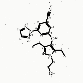 CCc1nn(CCO)c(CC)c1Oc1cc(C#N)cc(-n2nccn2)c1